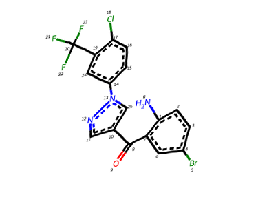 Nc1ccc(Br)cc1C(=O)c1cnn(-c2ccc(Cl)c(C(F)(F)F)c2)c1